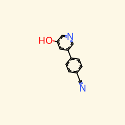 N#Cc1ccc(-c2cncc(O)c2)cc1